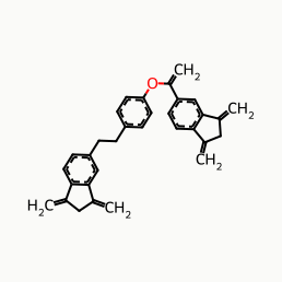 C=C(Oc1ccc(CCc2ccc3c(c2)C(=C)CC3=C)cc1)c1ccc2c(c1)C(=C)CC2=C